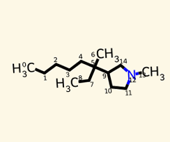 CCCCCC(C)(CC)C1CCN(C)C1